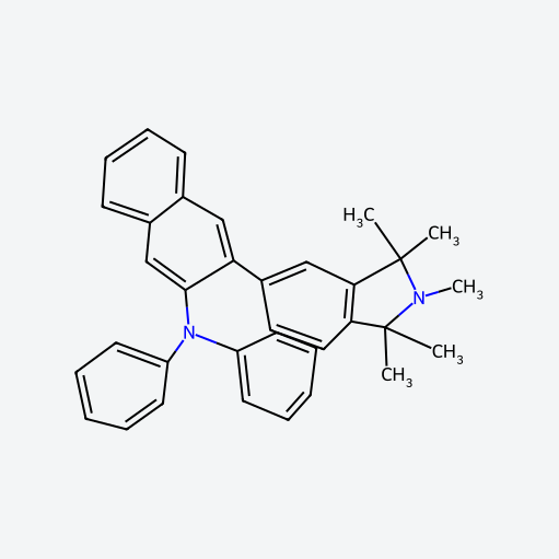 CN1C(C)(C)c2ccc(-c3cc4ccccc4cc3N(c3ccccc3)c3ccccc3)cc2C1(C)C